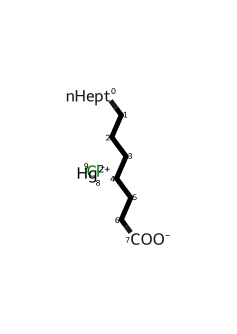 CCCCCCCCCCCCCC(=O)[O-].[Cl-].[Hg+2]